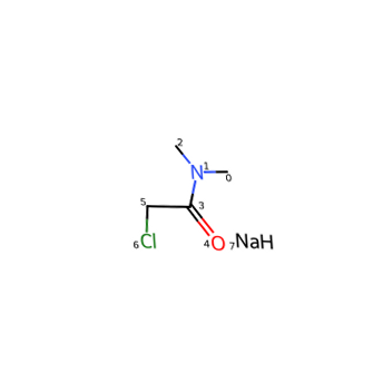 CN(C)C(=O)CCl.[NaH]